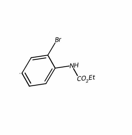 CCOC(=O)Nc1cc[c]cc1Br